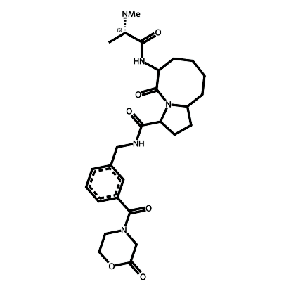 CN[C@@H](C)C(=O)NC1CCCCC2CCC(C(=O)NCc3cccc(C(=O)N4CCOC(=O)C4)c3)N2C1=O